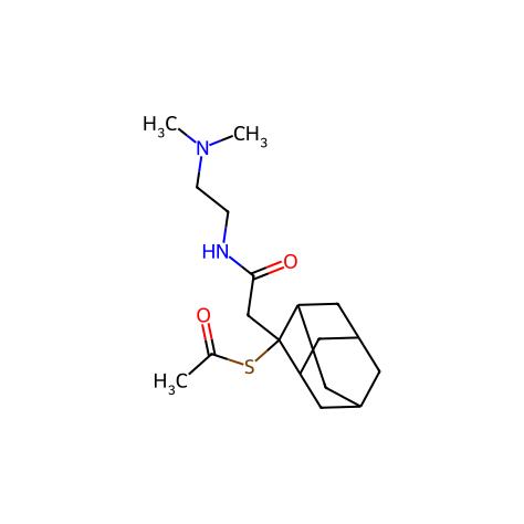 CC(=O)SC1(CC(=O)NCCN(C)C)C2CC3CC(C2)CC1C3